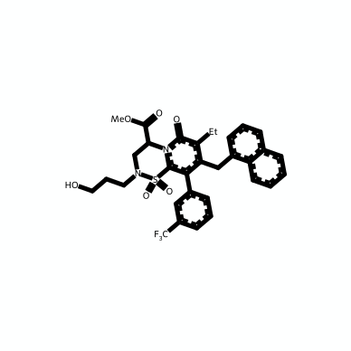 CCc1c(Cc2cccc3ccccc23)c(-c2cccc(C(F)(F)F)c2)c2n(c1=O)C(C(=O)OC)CN(CCCO)S2(=O)=O